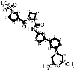 C[C@@H]1CN(c2cccc(-c3csc(NC(=O)[C@@H]4CCN4C(=O)c4ccn(S(C)(=O)=O)c4)n3)c2)C[C@H](C)O1